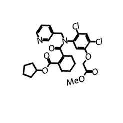 COC(=O)COc1cc(N(Cc2cccnc2)C(=O)C2=C(C(=O)OC3CCCC3)CCCC2)c(Cl)cc1Cl